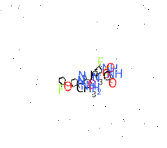 Cc1cc(Oc2ccccc2F)ccc1-n1ncc(C(=O)c2cc3cc(F)c(NS(=O)(=O)NC4(C)COC4)cc3[nH]2)c1N